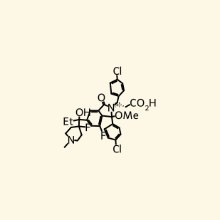 CCC(O)(c1cc(F)c2c(c1)C(=O)N([C@@H](CC(=O)O)c1ccc(Cl)cc1)C2(OC)c1ccc(Cl)cc1)C1(F)CCN(C)CC1